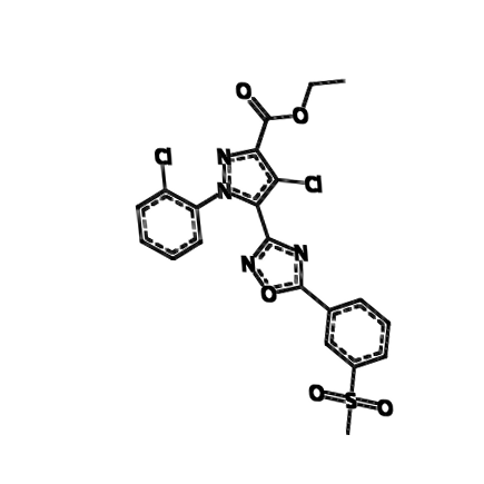 CCOC(=O)c1nn(-c2ccccc2Cl)c(-c2noc(-c3cccc(S(C)(=O)=O)c3)n2)c1Cl